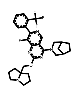 Fc1c(-c2ccccc2C(F)(F)F)ncc2c(N3CC4CCC(C4)C3)nc(OCC34CCCN3CCC4)nc12